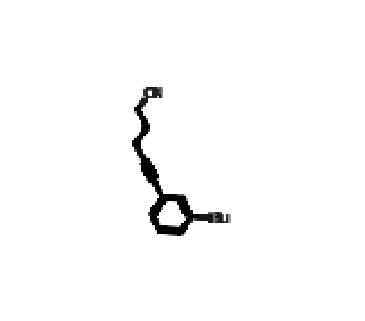 CC(C)(C)c1cccc(C#CCCCC#N)c1